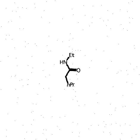 [CH2]CCCC(=O)NCC